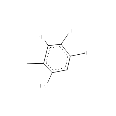 [2H]c1cc(O)c(C)c([2H])c1[2H]